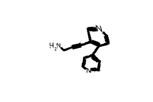 NCC#Cc1cnccc1-c1ccncc1